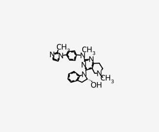 Cc1nccn1-c1ccc(N(C)c2nc3c(c(N4c5ccccc5C[C@H]4CO)n2)CN(C)CC3)cc1